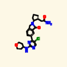 NC(=O)CC1CCCC1N1Cc2ccc(-c3nc(NC4CCOCC4)ncc3Cl)cc2C1=O